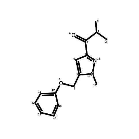 CC(C)C(=O)c1cc(COc2ccccc2)n(C)n1